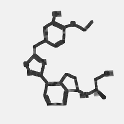 CCOc1ccc(Cc2nc(-c3cccc4c3CCC4N[C@H](C)CO)no2)cc1O